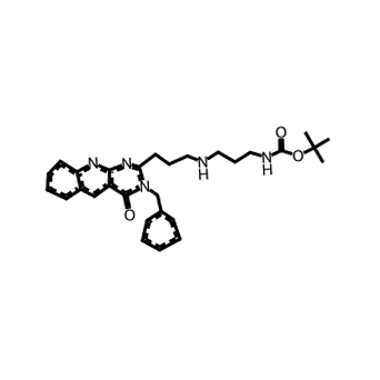 CC(C)(C)OC(=O)NCCCNCCCc1nc2nc3ccccc3cc2c(=O)n1Cc1ccccc1